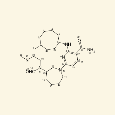 CC1CCCCC(Nc2nc(N3CCCCC(N(C=O)CCN(C)C)C3)cnc2C(N)=O)CC1